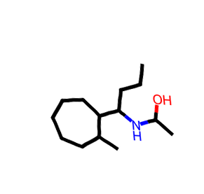 CCCC(NC(C)O)C1CCCCCC1C